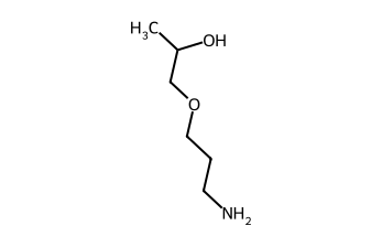 CC(O)COCCCN